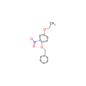 CCOc1ccc(OCc2ccccc2)c([N+](=O)[O-])c1